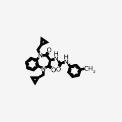 Cc1cccc(NC(=O)NC2C(=O)N(CC3CC3)c3ccccc3N(CC3CC3)C2=O)c1